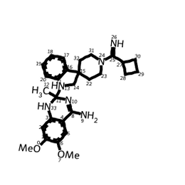 COc1cc2c(cc1OC)C(N)=NC(C)(NCC1(c3ccccc3)CCN(C(=N)C3CCC3)CC1)N2